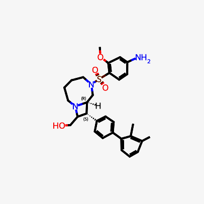 COc1cc(N)ccc1S(=O)(=O)N1CCCCN2C(CO)[C@@H](c3ccc(-c4cccc(C)c4C)cc3)[C@@H]2C1